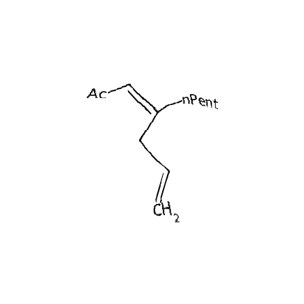 C=CCC(=CC(C)=O)CCCCC